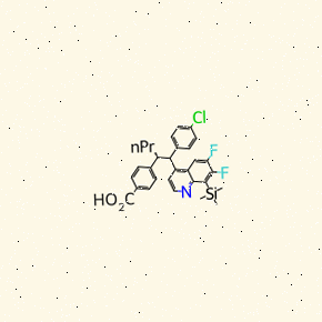 CCC[C@H](c1ccc(C(=O)O)cc1)C(c1ccc(Cl)cc1)c1ccnc2c([Si](C)(C)C)c(F)c(F)cc12